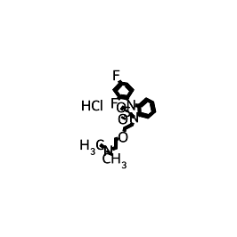 CN(C)CCOCCN1c2ccccc2N(c2ccc(F)cc2F)S1(=O)=O.Cl